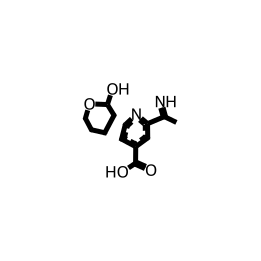 CC(=N)c1cc(C(=O)O)ccn1.OC1CCCCO1